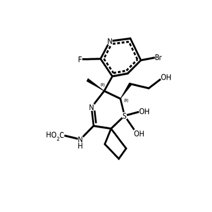 C[C@]1(c2cc(Br)cnc2F)N=C(NC(=O)O)C2(CCC2)S(O)(O)[C@@H]1CCO